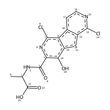 CC(NC(=O)c1nc(Cl)c2c(sc3c(Cl)nccc32)c1O)C(=O)O